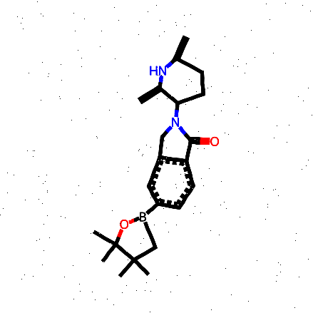 C=C1CCC(N2Cc3cc(B4CC(C)(C)C(C)(C)O4)ccc3C2=O)C(=C)N1